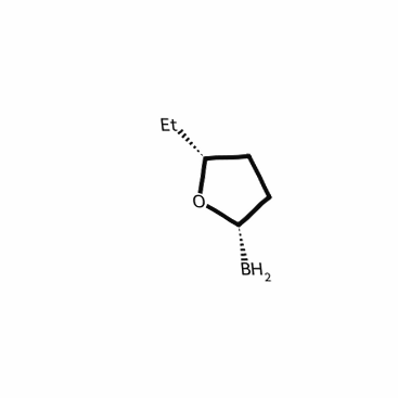 B[C@H]1CC[C@@H](CC)O1